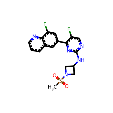 CS(=O)(=O)N1CC(Nc2ncc(F)c(-c3cc(F)c4ncccc4c3)n2)C1